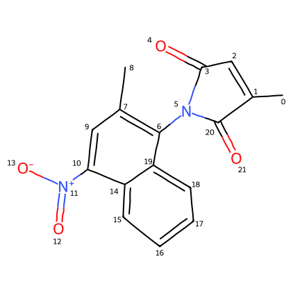 CC1=CC(=O)N(c2c(C)cc([N+](=O)[O-])c3ccccc23)C1=O